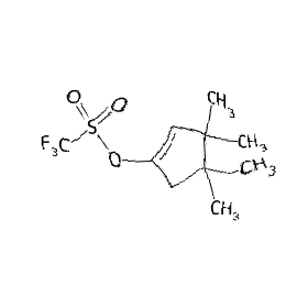 CC1(C)C=C(OS(=O)(=O)C(F)(F)F)CC1(C)C